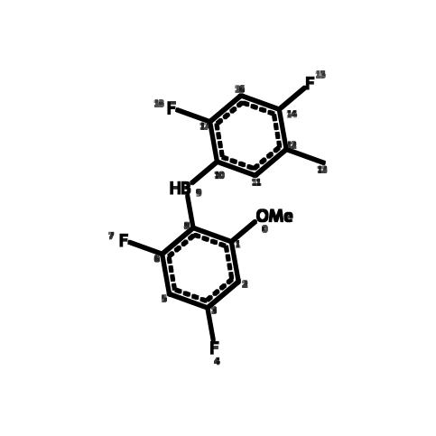 COc1cc(F)cc(F)c1Bc1cc(C)c(F)cc1F